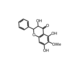 COc1c(O)cc2c(c1O)C(=O)C(O)C(c1ccccc1)O2